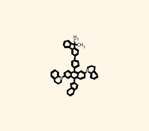 CC1(C)c2ccccc2-c2cc(-c3ccc(-c4c5ccc(N6CCCc7ccccc76)cc5c(-c5ccc6c(c5)CCC=C6)c5ccc(N6CCCc7ccccc76)cc45)cc3)ccc21